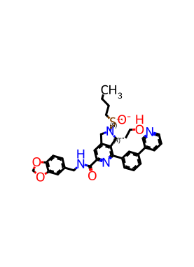 CCCC[S@@+]([O-])N1Cc2cc(C(=O)NCc3ccc4c(c3)OCO4)nc(-c3cccc(-c4cccnc4)c3)c2[C@H]1CCO